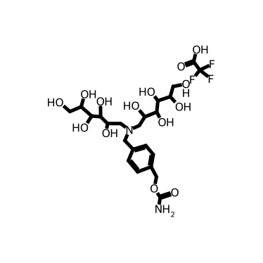 NC(=O)OCc1ccc(CN(CC(O)C(O)C(O)C(O)CO)CC(O)C(O)C(O)C(O)CO)cc1.O=C(O)C(F)(F)F